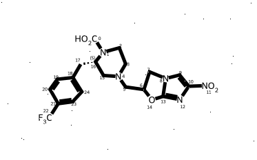 O=C(O)N1CCN(CC2Cn3cc([N+](=O)[O-])nc3O2)C[C@@H]1Cc1ccc(C(F)(F)F)cc1